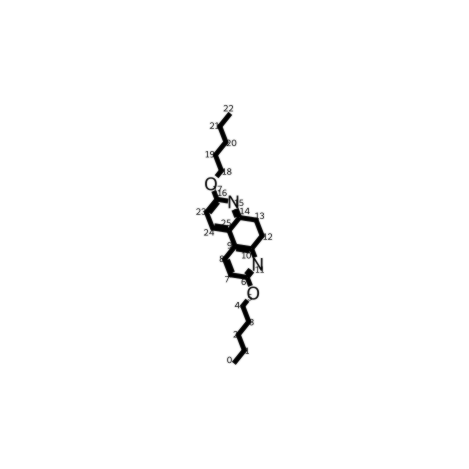 CCCCCOc1ccc2c(n1)CCc1nc(OCCCCC)ccc1-2